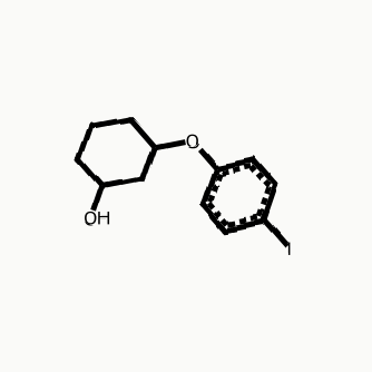 OC1CCCC(Oc2ccc(I)cc2)C1